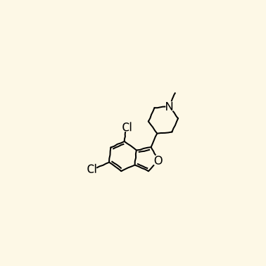 CN1CCC(c2occ3cc(Cl)cc(Cl)c23)CC1